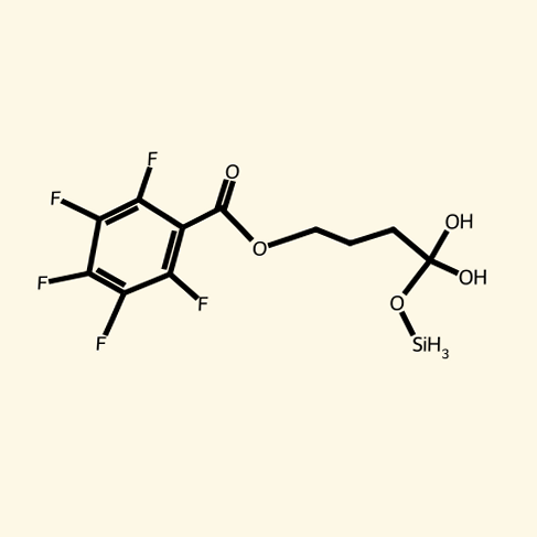 O=C(OCCCC(O)(O)O[SiH3])c1c(F)c(F)c(F)c(F)c1F